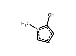 Cn1c[c]cc1O